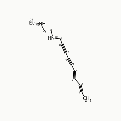 CC#CC#CC#CC#CCNCCNCC